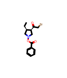 CC[C@@H]1CN(OC(=O)c2ccccc2)C[C@@H]1C(=O)CBr